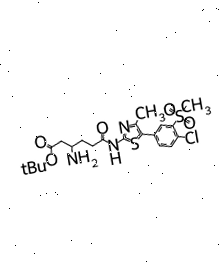 Cc1nc(NC(=O)CCC(N)CC(=O)OC(C)(C)C)sc1-c1ccc(Cl)c(S(C)(=O)=O)c1